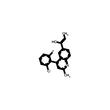 CC=C(O)c1ccc2nc(C)cc(-c3c(F)cccc3Cl)c2c1